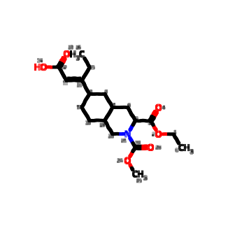 CCOC(=O)C1CC2CC(C(=CC(=O)O)CC)CCC2CN1C(=O)OC